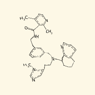 Cc1ccnc(C)c1C(=O)NCc1cccc(CN(CCc2cncn2C)C2CCCc3cccnc32)c1